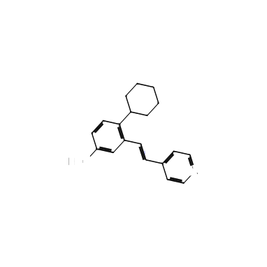 Cc1ccc(C2CCCCC2)c(/C=C/c2ccncc2)c1